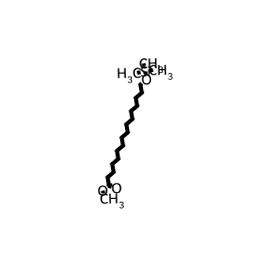 COC(=O)CCCCCCCCCCCCCCCO[Si](C)(C)C